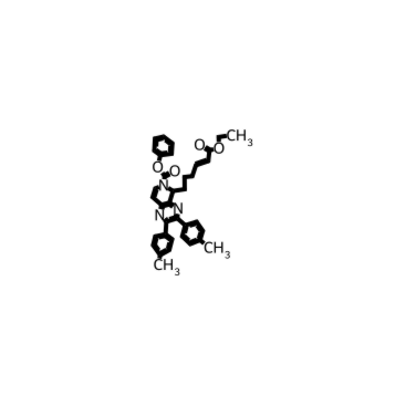 CCOC(=O)/C=C/CCCC1c2nc(-c3ccc(C)cc3)c(-c3ccc(C)cc3)nc2C=CN1C(=O)Oc1ccccc1